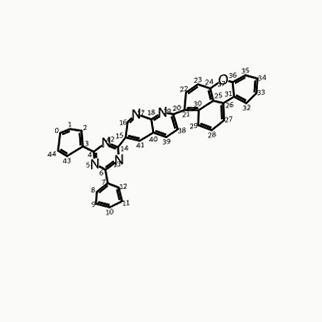 c1ccc(-c2nc(-c3ccccc3)nc(-c3cnc4nc(-c5ccc6c7c(cccc57)-c5ccccc5O6)ccc4c3)n2)cc1